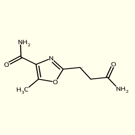 Cc1oc([CH]CC(N)=O)nc1C(N)=O